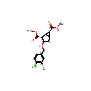 CC(C)(C)OC(=O)[C@@H]1C(OCc2ccc(Cl)c(Cl)c2)CC2C1[C@H]2C(=O)OC(C)(C)C